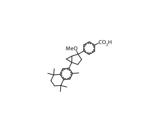 COC1(c2ccc(C(=O)O)cc2)CCC2(c3cc4c(cc3C)C(C)(C)CCC4(C)C)CC21